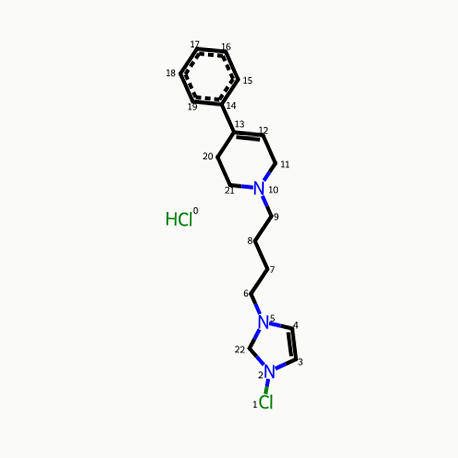 Cl.ClN1C=CN(CCCCN2CC=C(c3ccccc3)CC2)C1